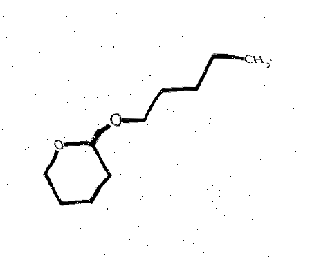 [CH2]CCCCOC1CCCCO1